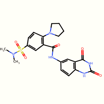 CN(C)S(=O)(=O)c1ccc(N2CCCC2)c(C(=O)Nc2ccc3[nH]c(=O)[nH]c(=O)c3c2)c1